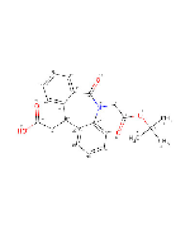 CC(C)(C)OC(=O)CN1C(=O)c2ccccc2C(CC(=O)O)c2ccccc21